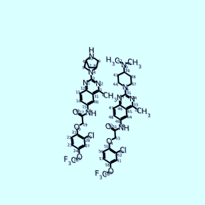 Cc1nc(N2CC3CC2CN3)nc2ccc(NC(=O)COc3ccc(OC(F)(F)F)cc3Cl)cc12.Cc1nc(N2CCC(N(C)C)CC2)nc2ccc(NC(=O)COc3ccc(OC(F)(F)F)cc3Cl)cc12